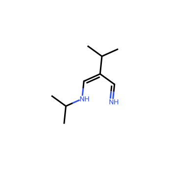 CC(C)N/C=C(\C=N)C(C)C